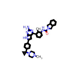 Cc1c(NC(=O)N2Cc3ccccc3C2)cccc1-c1nc(N)nc2[nH]c(-c3ccc(C4(N5CCN(C)CC5)CC4)cc3)cc12